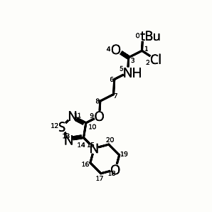 CC(C)(C)C(Cl)C(=O)NCCCOc1nsnc1N1CCOCC1